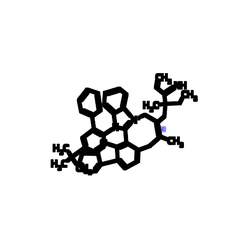 C=CC(=N)C(C)(CC)C/C1=C(\C)Cc2ccc3c(oc4ccccc43)c2-c2n(-c3ccc(C(C)(C)C)cc3-c3ccccc3)c3ccccc3[n+]2C1